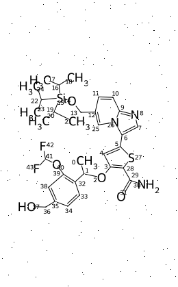 CC(Oc1cc(-c2cnc3ccc(CO[Si](C(C)C)(C(C)C)C(C)C)cn23)sc1C(N)=O)c1ccc(CO)cc1OC(F)F